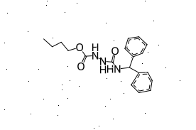 CCCCOC(=O)NNC(=O)NC(c1ccccc1)c1ccccc1